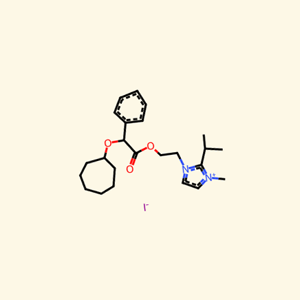 CC(C)c1n(CCOC(=O)C(OC2CCCCCC2)c2ccccc2)cc[n+]1C.[I-]